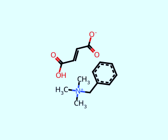 C[N+](C)(C)Cc1ccccc1.O=C([O-])C=CC(=O)O